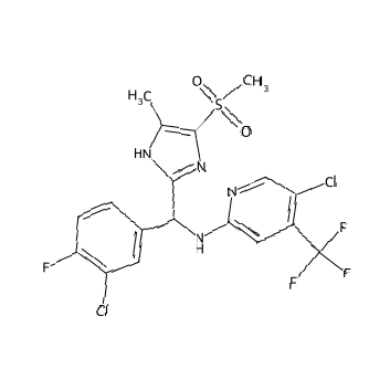 Cc1[nH]c(C(Nc2cc(C(F)(F)F)c(Cl)cn2)c2ccc(F)c(Cl)c2)nc1S(C)(=O)=O